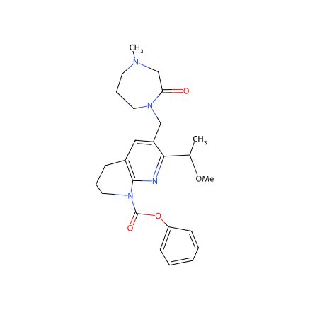 COC(C)c1nc2c(cc1CN1CCCN(C)CC1=O)CCCN2C(=O)Oc1ccccc1